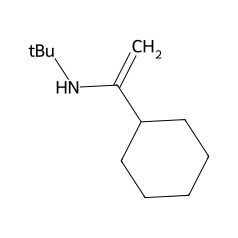 C=C(NC(C)(C)C)C1CCCCC1